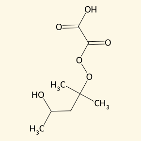 CC(O)CC(C)(C)OOC(=O)C(=O)O